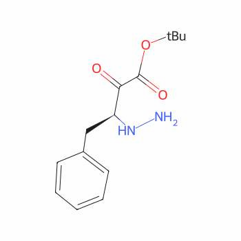 CC(C)(C)OC(=O)C(=O)[C@H](Cc1ccccc1)NN